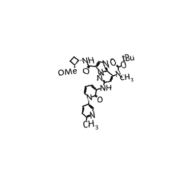 CO[C@H]1CC[C@@H]1NC(=O)c1cnc2c(N(C)C(=O)OC(C)(C)C)cc(Nc3cccn(-c4ccc(C)nc4)c3=O)nn12